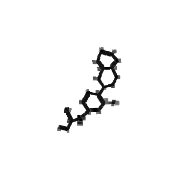 C=CC(=O)Nc1ccc(C2CCc3ccccc3C2)c(F)c1